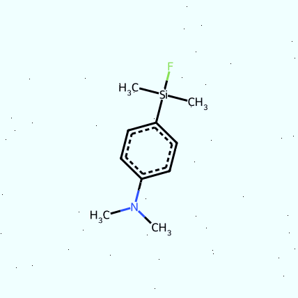 CN(C)c1ccc([Si](C)(C)F)cc1